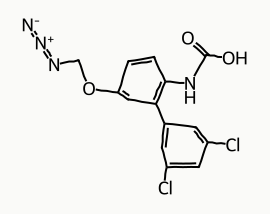 [N-]=[N+]=NCOc1ccc(NC(=O)O)c(-c2cc(Cl)cc(Cl)c2)c1